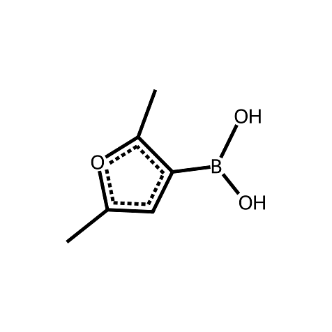 Cc1cc(B(O)O)c(C)o1